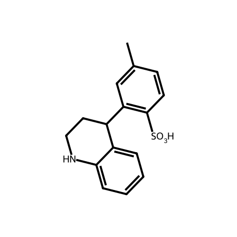 Cc1ccc(S(=O)(=O)O)c(C2CCNc3ccccc32)c1